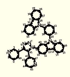 c1cncc(-c2nnn(-c3ccc4c5ccccc5n(-c5cccc(-n6c7ccccc7c7ccccc76)c5)c4c3)c2-c2cccnc2)c1